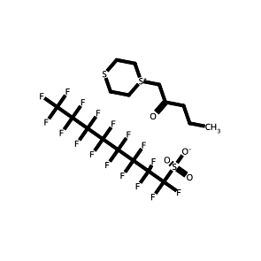 CCCC(=O)C[S+]1CCSCC1.O=S(=O)([O-])C(F)(F)C(F)(F)C(F)(F)C(F)(F)C(F)(F)C(F)(F)C(F)(F)C(F)(F)F